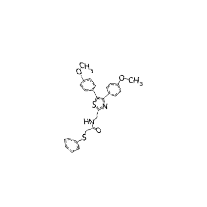 COc1ccc(-c2nc(CNC(=O)CSc3ccccc3)sc2-c2ccc(OC)cc2)cc1